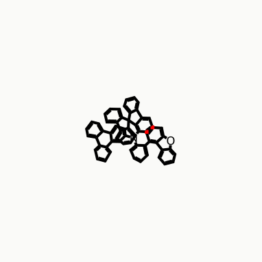 c1ccc(N(c2ccc3c4ccccc4c4ccccc4c3c2)c2cccc3c2C2(c4ccccc4-c4ccccc42)c2ccccc2-3)c(-c2cccc3oc4ccccc4c23)c1